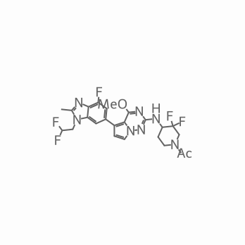 COc1nc(NC2CCN(C(C)=O)CC2(F)F)nn2ccc(-c3cc(F)c4nc(C)n(CC(F)F)c4c3)c12